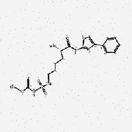 CN[C@@H](CCCCNS(=O)(=O)NC(=O)OC(C)(C)C)C(=O)Nc1nc(-c2ccccc2)cs1